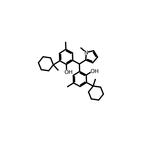 Cc1cc(C(c2cc(C)cc(C3(C)CCCCC3)c2O)c2cccn2C)c(O)c(C2(C)CCCCC2)c1